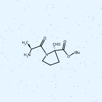 C[C@H](N)C(=O)N1CCC[C@]1(C=O)C(=O)OC(C)(C)C